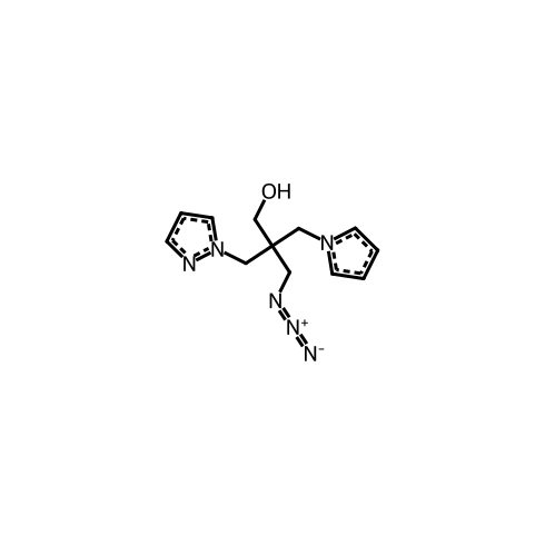 [N-]=[N+]=NCC(CO)(Cn1cccc1)Cn1cccn1